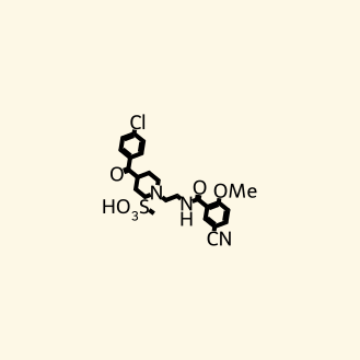 COc1ccc(C#N)cc1C(=O)NCCN1CCC(C(=O)c2ccc(Cl)cc2)CC1.CS(=O)(=O)O